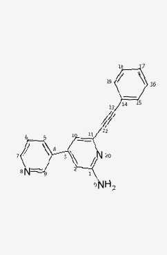 Nc1cc(-c2cccnc2)cc(C#Cc2ccccc2)n1